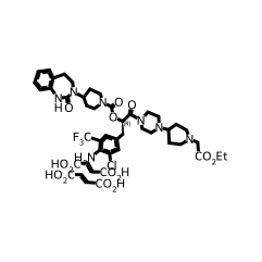 CCOC(=O)CN1CCC(N2CCN(C(=O)[C@@H](Cc3cc(Cl)c(N)c(C(F)(F)F)c3)OC(=O)N3CCC(N4CCc5ccccc5NC4=O)CC3)CC2)CC1.O=C(O)C=CC(=O)O.O=C(O)C=CC(=O)O